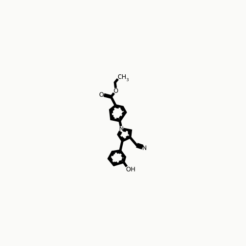 CCOC(=O)c1ccc(-n2cc(C#N)c(-c3cccc(O)c3)c2)cc1